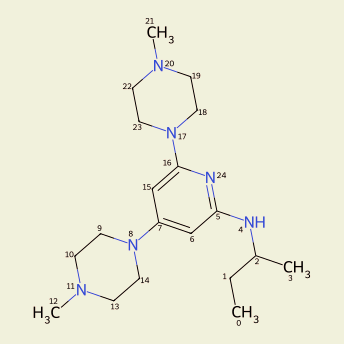 CCC(C)Nc1cc(N2CCN(C)CC2)cc(N2CCN(C)CC2)n1